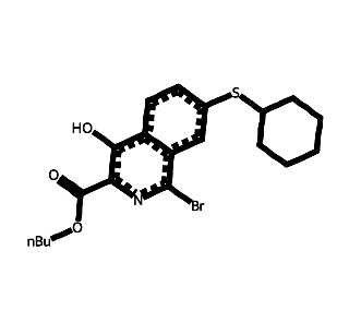 CCCCOC(=O)c1nc(Br)c2cc(SC3CCCCC3)ccc2c1O